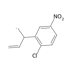 [CH2]C(C=C)c1cc([N+](=O)[O-])ccc1Cl